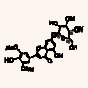 COc1cc(-c2cc(=O)c3c(O)cc(O[C@@H]4O[C@H](CO)[C@@H](O)C(O)C4O)cc3o2)cc(OC)c1O